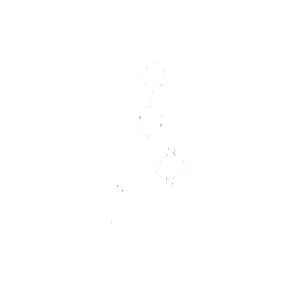 c1ccc2c(c1)ccc1c3c(ccc12)C(c1cnccn1)C(CCN1CCOCC1)CC3